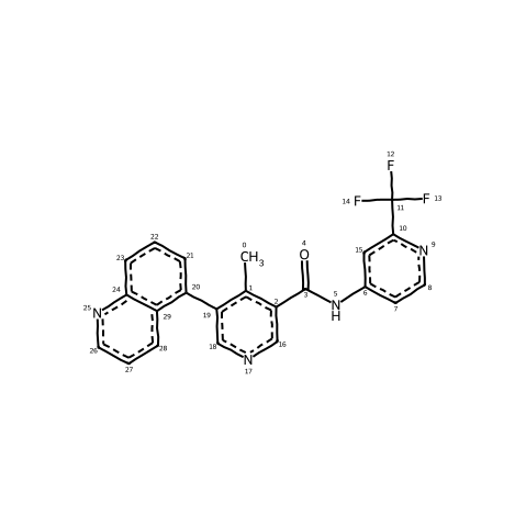 Cc1c(C(=O)Nc2ccnc(C(F)(F)F)c2)cncc1-c1cccc2ncccc12